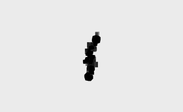 Cc1cn2c(-c3cnn(CC(=O)NCc4ccc(F)cc4)c3)cnc2c(Nc2cc(CN3CCCCC3)ns2)n1